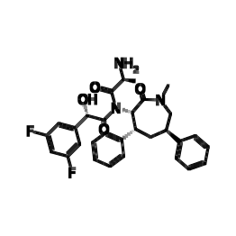 C[C@H](N)C(=O)N(C(=O)[C@@H](O)c1cc(F)cc(F)c1)[C@@H]1C(=O)N(C)C[C@@H](c2ccccc2)C[C@@H]1c1ccccc1